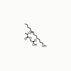 CC(O)C(=O)OCC(=O)O.CCCCCCCCCCCCO